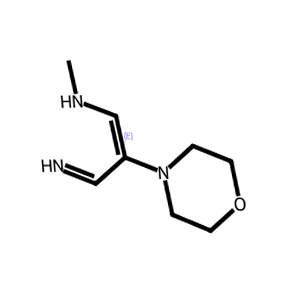 CN/C=C(\C=N)N1CCOCC1